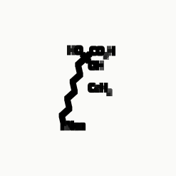 CCCCCCCCCCCCCCCCC(O)(O)C(=O)O.[CaH2]